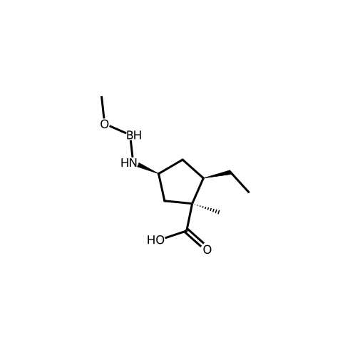 CC[C@@H]1C[C@H](NBOC)C[C@]1(C)C(=O)O